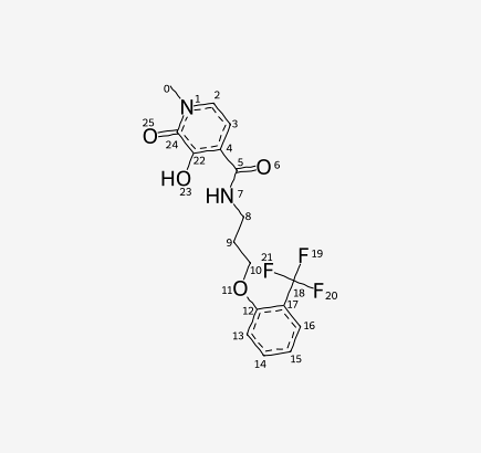 Cn1ccc(C(=O)NCCCOc2ccccc2C(F)(F)F)c(O)c1=O